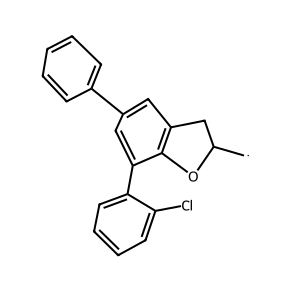 [CH2]C1Cc2cc(-c3ccccc3)cc(-c3ccccc3Cl)c2O1